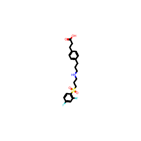 O=C(O)CCc1ccc(CCCNCCCS(=O)(=O)c2ccc(F)cc2F)cc1